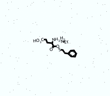 CCN.NC(CCC(=O)O)C(=O)OSCCc1ccccc1